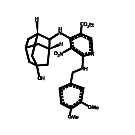 CCOC(=O)c1cnc(NCc2ccc(OC)c(OC)c2)c([N+](=O)[O-])c1NC1[C@H]2CC3C[C@H]1CC(O)(C3)C2